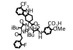 CCC(C)C(NC(=O)Cc1ccccc1F)C(=O)NC1(C(=O)NC(C(=S)Nc2ccc(OC)c(C(=O)O)c2)C(C)CC)CCc2[nH]c3c(C(F)(F)F)cccc3c2C1